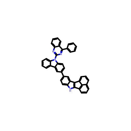 c1ccc(-c2nc(-n3c4ccccc4c4cc(-c5ccc6[nH]c7c(c6c5)-c5cccc6cccc-7c56)ccc43)nc3ccccc23)cc1